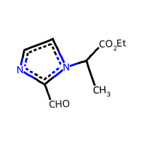 CCOC(=O)C(C)n1ccnc1C=O